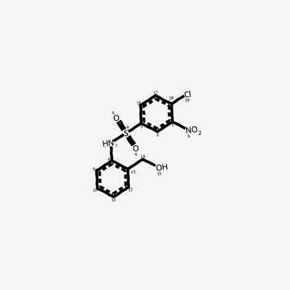 O=[N+]([O-])c1cc(S(=O)(=O)Nc2ccccc2CO)ccc1Cl